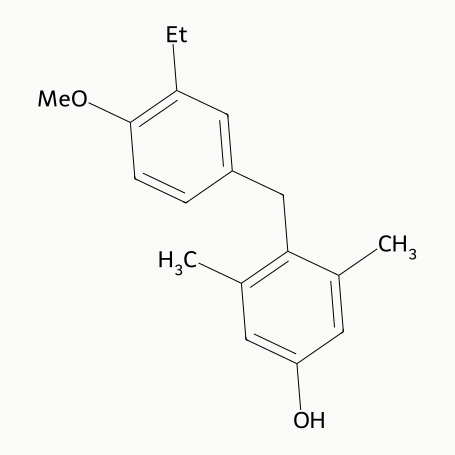 CCc1cc(Cc2c(C)cc(O)cc2C)ccc1OC